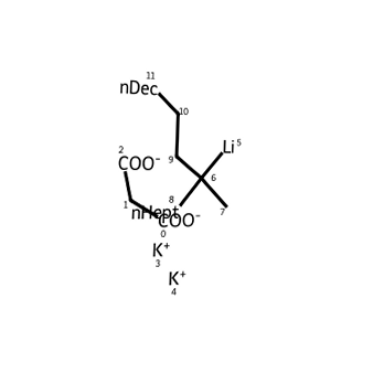 O=C([O-])CC(=O)[O-].[K+].[K+].[Li][C](C)(CCCCCCC)CCCCCCCCCCCC